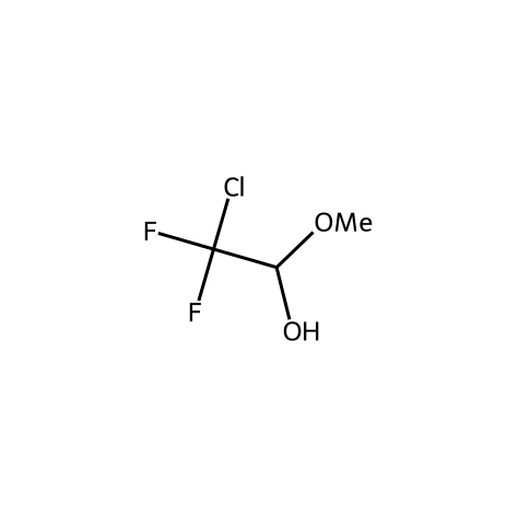 COC(O)C(F)(F)Cl